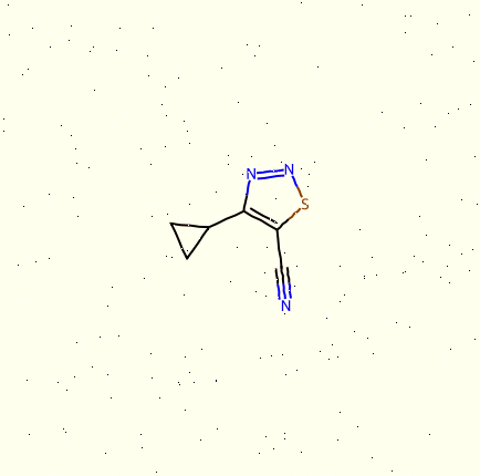 N#Cc1snnc1C1CC1